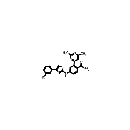 Cc1cc(-c2cc(Nc3nc(-c4cccc(O)c4)cs3)ccc2C(N)=O)nc(C)n1